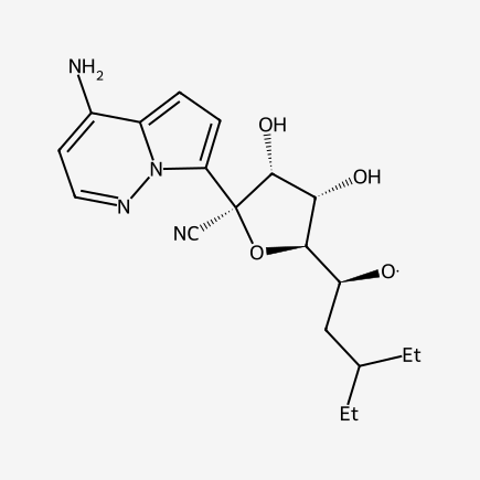 CCC(CC)C[C@H]([O])[C@H]1O[C@@](C#N)(c2ccc3c(N)ccnn23)[C@H](O)[C@@H]1O